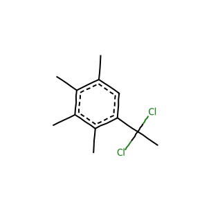 Cc1cc(C(C)(Cl)Cl)c(C)c(C)c1C